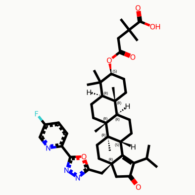 CC(C)C1=C2[C@H]3CC[C@@H]4[C@@]5(C)CC[C@H](OC(=O)CC(C)(C)C(=O)O)C(C)(C)[C@@H]5CC[C@@]4(C)[C@]3(C)CC[C@@]2(Cc2nnc(-c3ccc(F)cn3)o2)CC1=O